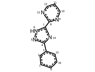 c1ccc(-c2n[nH]c(-c3ncccn3)n2)cc1